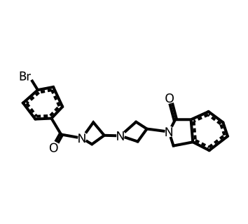 O=C(c1ccc(Br)cc1)N1CC(N2CC(N3Cc4ccccc4C3=O)C2)C1